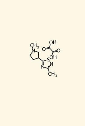 Cc1nsc(C2CCN(C)C2)n1.O=C(O)C(=O)O